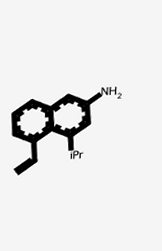 C=Cc1cccc2cc(N)cc(C(C)C)c12